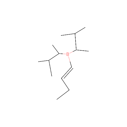 CCC=CB(C(C)C(C)C)C(C)C(C)C